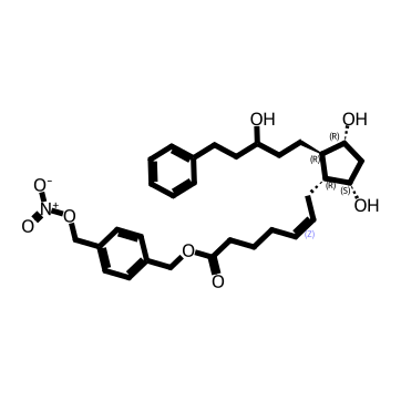 O=C(CCC/C=C\C[C@@H]1[C@@H](CCC(O)CCc2ccccc2)[C@H](O)C[C@@H]1O)OCc1ccc(CO[N+](=O)[O-])cc1